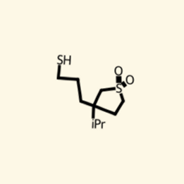 CC(C)C1(CCCS)CCS(=O)(=O)C1